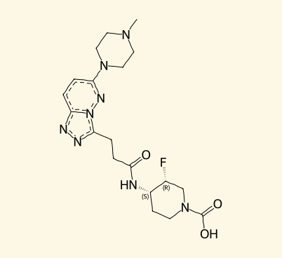 CN1CCN(c2ccc3nnc(CCC(=O)N[C@H]4CCN(C(=O)O)C[C@H]4F)n3n2)CC1